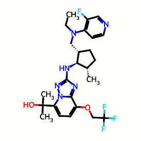 CCN(C[C@@H]1CC[C@H](C)[C@H]1Nc1nc2c(OCC(F)(F)F)ccc(C(C)(C)O)n2n1)c1ccncc1F